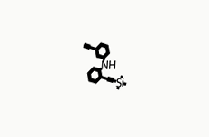 C#Cc1cccc(Nc2ccccc2C#C[Si](C)(C)C)c1